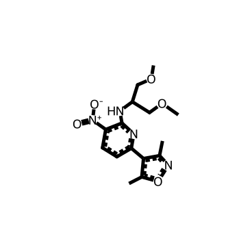 COCC(COC)Nc1nc(-c2c(C)noc2C)ccc1[N+](=O)[O-]